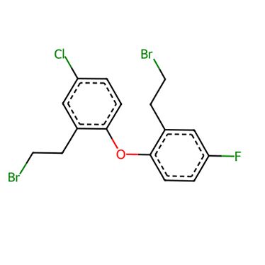 Fc1ccc(Oc2ccc(Cl)cc2CCBr)c(CCBr)c1